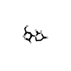 O=C1CCN(c2cc(CBr)nnc2F)C(=O)N1